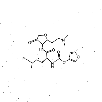 CC(C)C(C)CC[C@H](NC(=O)Oc1ccoc1)C(=O)NC1C(=O)COC1CCN(C)C